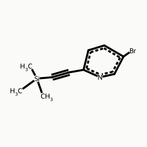 C[Si](C)(C)C#Cc1ccc(Br)cn1